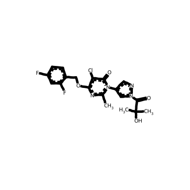 Cc1nc(OCc2ccc(F)cc2F)c(Cl)c(=O)n1-c1cnn(C(=O)C(C)(C)O)c1